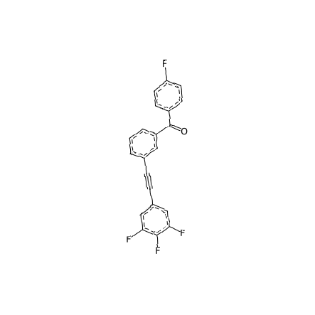 O=C(c1ccc(F)cc1)c1cccc(C#Cc2cc(F)c(F)c(F)c2)c1